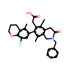 Cc1c(-c2c(C)c3c(c(C)c2CC(=O)O)CC(=O)N(Cc2ccccc2)C3)cc(F)c2c1CCCO2